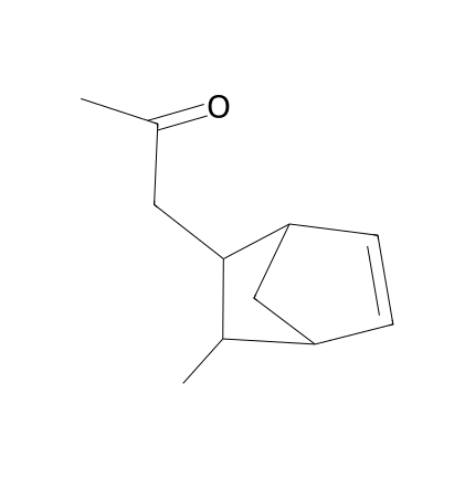 CC(=O)CC1C2C=CC(C2)C1C